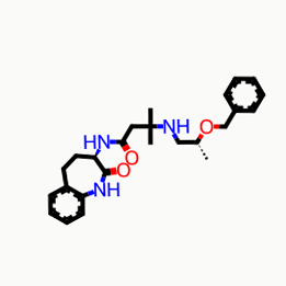 C[C@H](CNC(C)(C)CC(=O)N[C@@H]1CCc2ccccc2NC1=O)OCc1ccccc1